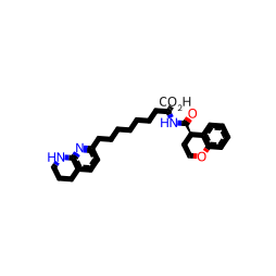 O=C(O)C(CCCCCCCc1ccc2c(n1)NCCC2)NC(=O)[C@@H]1CCOc2ccccc21